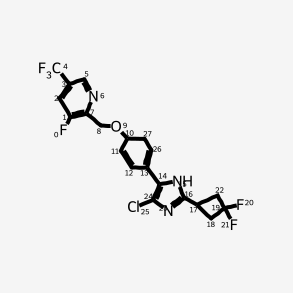 Fc1cc(C(F)(F)F)cnc1COC1C=CC(c2[nH]c(C3CC(F)(F)C3)nc2Cl)=CC1